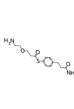 NCCOCCC(=O)Sc1ccc(CCC(N)=O)cc1